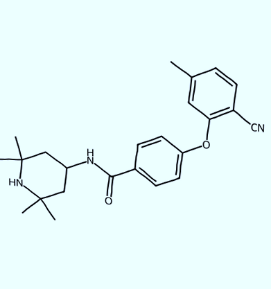 Cc1ccc(C#N)c(Oc2ccc(C(=O)NC3CC(C)(C)NC(C)(C)C3)cc2)c1